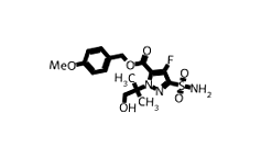 COc1ccc(COC(=O)c2c(F)c(S(N)(=O)=O)nn2C(C)(C)CO)cc1